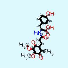 COC1=C(OC)C(=O)C(CCC(=O)N[C@@H](Cc2ccc(O)cc2)C(=O)O)=C(C)C1=O